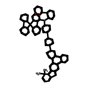 CC1(C)C=CC=C2C=c3cc4c5ccccc5c5cc(-c6ccc(-c7ccc(N(c8ccccc8-c8ccccc8)c8cccc9c8-c8ccccc8C98c9ccccc9-c9ccccc98)cc7)cc6)ccc5c4cc3=C21